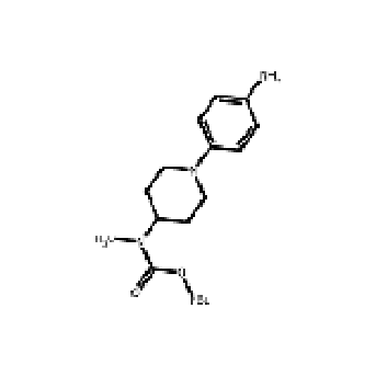 CCCCOC(=O)N(C)C1CCN(c2ccc(N)cc2)CC1